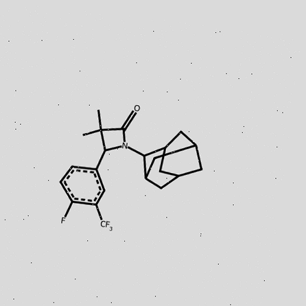 CC1(C)C(=O)N(C2C3CC4CC(C3)CC2C4)C1c1ccc(F)c(C(F)(F)F)c1